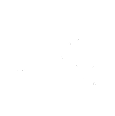 CC(=O)OCCC1CCN(C(=O)C(Cc2cccs2)NC(=O)OC(C)(C)C)CC1